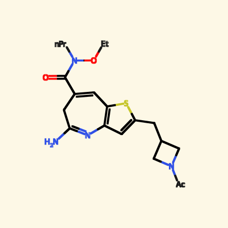 CCCN(OCC)C(=O)C1=Cc2sc(CC3CN(C(C)=O)C3)cc2N=C(N)C1